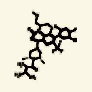 BC(B)=C(B)C(=O)N1[C@H](C)CN(c2nc(=O)n3c4c(c(-c5cc(Cl)c(F)cc5F)c(C(F)(F)F)cc24)SC[C@@H]3COC)C[C@@H]1C